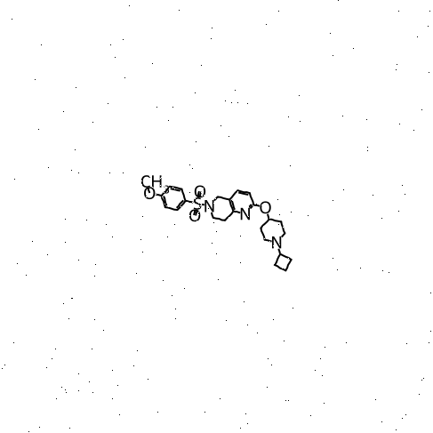 COc1ccc(S(=O)(=O)N2CCc3nc(OC4CCN(C5CCC5)CC4)ccc3C2)cc1